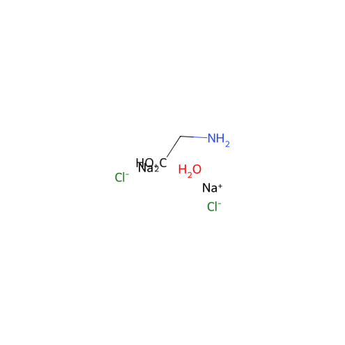 NCC(=O)O.O.[Cl-].[Cl-].[Na+].[Na+]